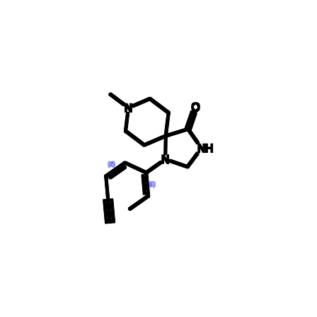 C#C/C=C\C(=C/C)N1CNC(=O)C12CCN(C)CC2